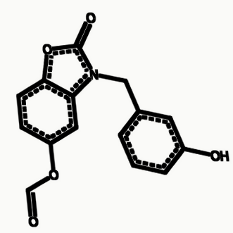 O=COc1ccc2oc(=O)n(Cc3cccc(O)c3)c2c1